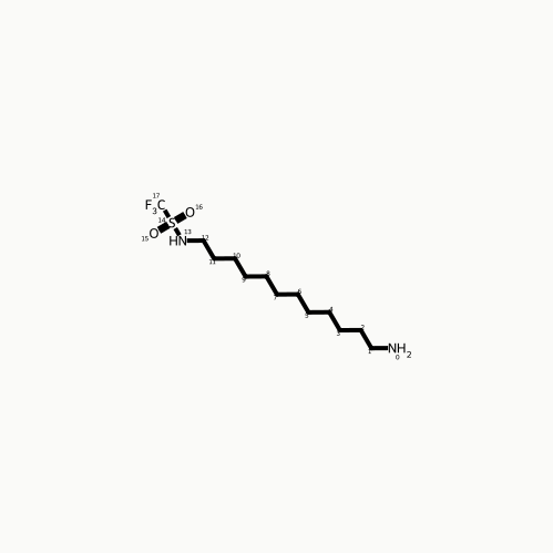 NCCCCCCCCCCCCNS(=O)(=O)C(F)(F)F